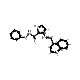 O=C(NOc1ccccc1)c1sccc1NCc1ccnc2ccccc12